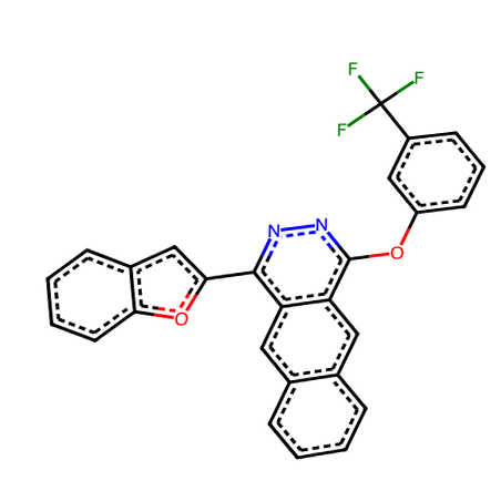 FC(F)(F)c1cccc(Oc2nnc(-c3cc4ccccc4o3)c3cc4ccccc4cc23)c1